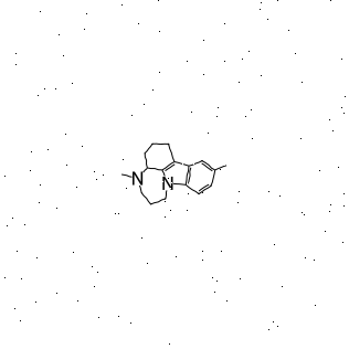 Cc1ccc2c(c1)c1c3n2CCCN(C)C3CCC1